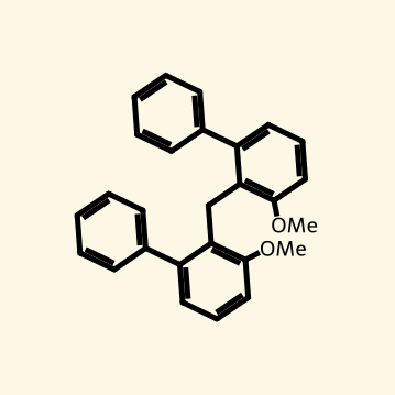 COc1cccc(-c2ccccc2)c1Cc1c(OC)cccc1-c1ccccc1